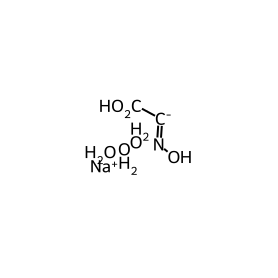 O.O.O.O=C(O)[C-]=NO.[Na+]